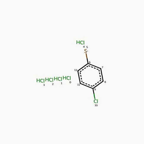 Cl.Cl.Cl.Cl.Cl.[S]c1ccc(Cl)cc1